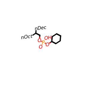 CCCCCCCCCCC(CCCCCCCC)COP(=O)(O)OC1CCCCC1